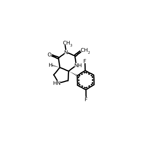 C=C1N[C@@]2(c3cc(F)ccc3F)CNC[C@H]2C(=O)N1C